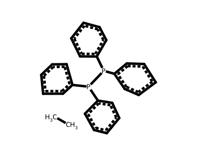 CC.c1ccc(P(c2ccccc2)P(c2ccccc2)c2ccccc2)cc1